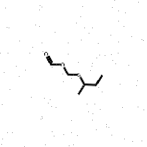 CCC(C)SCO[C]=O